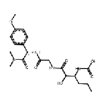 CCCC(NC(=O)O)C(O)C(=O)NCC(=O)N[C@H](C(=O)N(C)C)c1ccc(OC)cc1